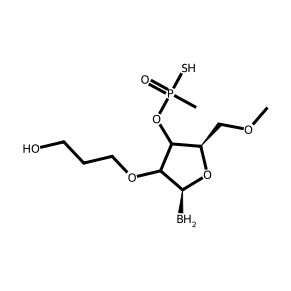 B[C@@H]1O[C@H](COC)C(OP(C)(=O)S)C1OCCCO